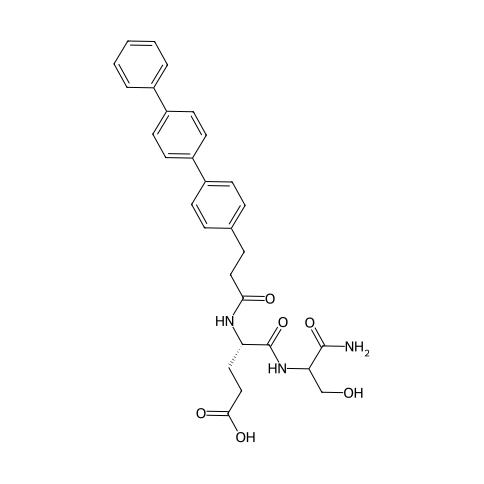 NC(=O)C(CO)NC(=O)[C@H](CCC(=O)O)NC(=O)CCc1ccc(-c2ccc(-c3ccccc3)cc2)cc1